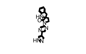 O=C1N(c2cnc(-c3cn[nH]c3)cn2)CCC12Cc1ccccc1N2